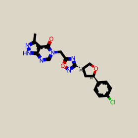 Cc1n[nH]c2ncn(Cc3nc([C@@H]4CO[C@@H](c5ccc(Cl)cc5)C4)no3)c(=O)c12